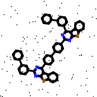 c1ccc(-c2cccc(-c3nc(-c4ccc(-c5ccc(-c6nc(-c7cccc(-c8ccccc8)c7)c7c(n6)sc6ccccc67)cc5)cc4)c4c(n3)sc3ccccc34)c2)cc1